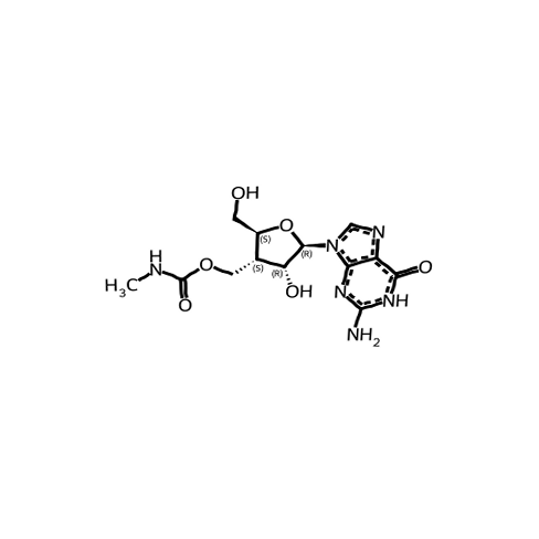 CNC(=O)OC[C@H]1[C@@H](O)[C@H](n2cnc3c(=O)[nH]c(N)nc32)O[C@@H]1CO